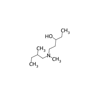 CCC(C)CN(C)CCC(O)CC